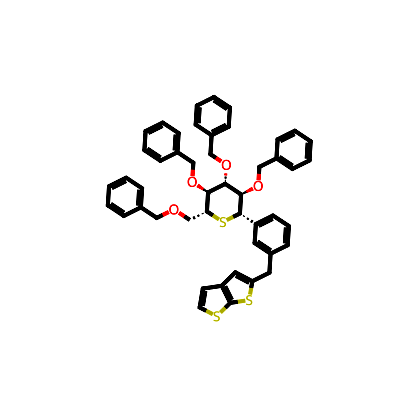 c1ccc(COC[C@H]2S[C@@H](c3cccc(Cc4cc5ccsc5s4)c3)[C@H](OCc3ccccc3)[C@@H](OCc3ccccc3)[C@@H]2OCc2ccccc2)cc1